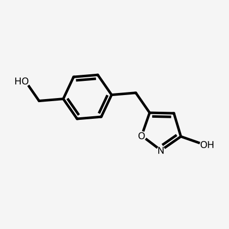 OCc1ccc(Cc2cc(O)no2)cc1